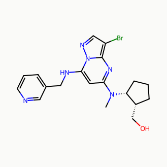 CN(c1cc(NCc2cccnc2)n2ncc(Br)c2n1)[C@@H]1CCC[C@@H]1CO